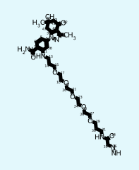 Cc1nn(-c2ccc(C(N)=O)c(NCCCOCCOCCOCCOCCOCCCNC(=O)CN=N)c2)c2c1C(=O)CC(C)(C)C2